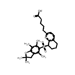 Cc1c(C)c(S(=O)(=O)C2CCCc3ccc(CCCCC(=O)O)nc32)c(C)c2c1OC(C)(C)C2